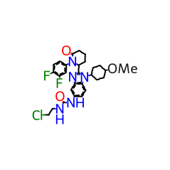 COC1CCC(n2c(C3CCCC(=O)N3c3ccc(F)c(F)c3)nc3cc(NC(=O)NCCCl)ccc32)CC1